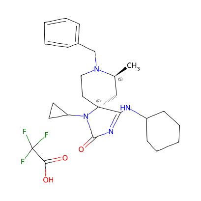 C[C@H]1C[C@]2(CCN1Cc1ccccc1)C(NC1CCCCC1)=NC(=O)N2C1CC1.O=C(O)C(F)(F)F